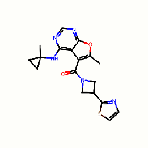 Cc1oc2ncnc(NC3(C)CC3)c2c1C(=O)N1CC(c2nccs2)C1